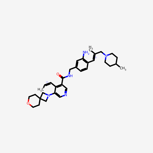 C/C=C\c1c(C(=O)NCc2ccc(/C=C(\C)CN3CCC(C)CC3)c(N)c2)cncc1N1CC2(CCOCC2)C1